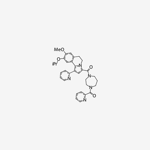 COc1cc2c(cc1OC(C)C)-c1c(-c3ccccn3)cc(C(=O)N3CCCN(C(=O)c4ccccn4)CC3)n1CC2